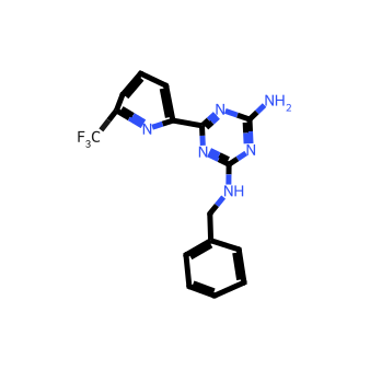 Nc1nc(NCc2ccccc2)nc(-c2cccc(C(F)(F)F)n2)n1